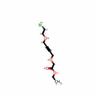 CCOC(=O)COCC#CCOCCBr